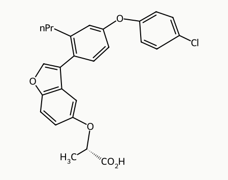 CCCc1cc(Oc2ccc(Cl)cc2)ccc1-c1coc2ccc(O[C@@H](C)C(=O)O)cc12